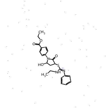 CCN/C(=N\c1ccccc1)SC1CC(O)N(c2ccc(C(=O)OCC)cc2)C1=O